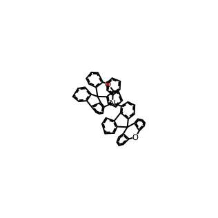 c1ccc(N(c2cccc3c2-c2ccccc2C32c3ccccc3Oc3ccccc32)c2cccc3c2C2(c4ccccc4Oc4ccccc42)c2ccccc2-3)cc1